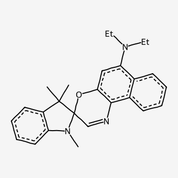 CCN(CC)c1cc2c(c3ccccc13)N=CC1(O2)N(C)c2ccccc2C1(C)C